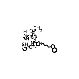 C=CC(=O)N1CCN(c2nc(OC[C@@H]3CCCN3C)nc3c2CN(CCCCC2CCc4ccccc42)C3)C[C@@H]1Cc1ncc[nH]1